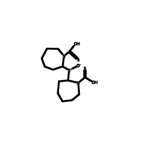 [O-][S+](C1CCCCCN1C(O)=S)C1CCCCCN1C(O)=S